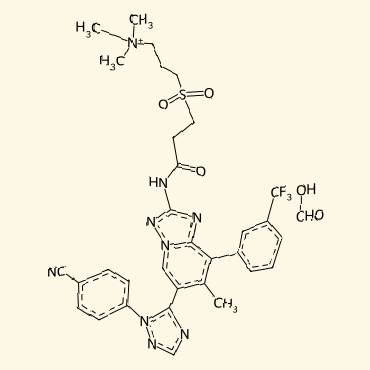 Cc1c(-c2ncnn2-c2ccc(C#N)cc2)cn2nc(NC(=O)CCS(=O)(=O)CCC[N+](C)(C)C)nc2c1-c1cccc(C(F)(F)F)c1.O=CO